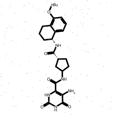 CCCCOc1cccc2c1CCC[C@H]2NC(=O)[C@@H]1CCC(NC(=O)c2[nH]c(=O)[nH]c(=O)c2N)C1